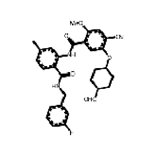 COc1cc(C#N)c(OC2CCC(C=O)CC2)cc1C(=O)Nc1cc(C)ccc1C(=O)NCc1cccc(F)c1